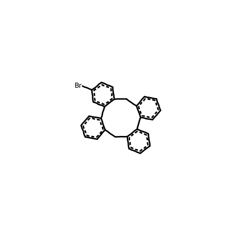 Brc1ccc2c(c1)-c1ccccc1Cc1ccccc1-c1ccccc1C2